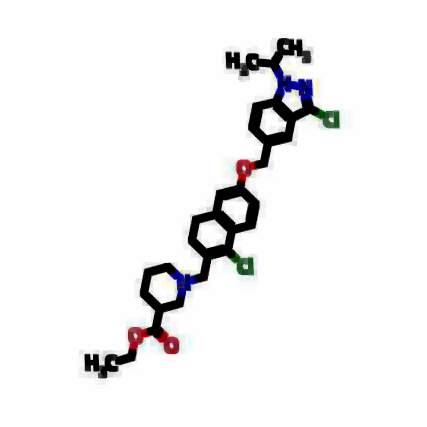 CCOC(=O)C1CCCN(CC2=C(Cl)c3ccc(OCc4ccc5c(c4)c(Cl)nn5C(C)C)cc3CC2)C1